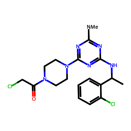 CNc1nc(NC(C)c2ccccc2Cl)nc(N2CCN(C(=O)CCl)CC2)n1